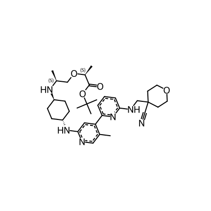 Cc1cnc(N[C@H]2CC[C@H](N[C@@H](C)CO[C@@H](C)C(=O)OC(C)(C)C)CC2)cc1-c1cccc(NCC2(C#N)CCOCC2)n1